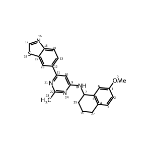 COc1ccc2c(c1)C(Nc1cc(-c3ccc4ncsc4c3)nc(C)n1)CCC2